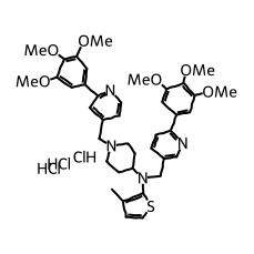 COc1cc(-c2ccc(CN(c3sccc3C)C3CCN(Cc4ccnc(-c5cc(OC)c(OC)c(OC)c5)c4)CC3)cn2)cc(OC)c1OC.Cl.Cl.Cl